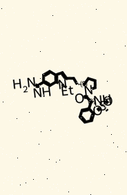 CCn1c(CC[C@@H]2CCCN2C(=O)[C@H](NS(C)(=O)=O)c2ccccc2)cc2ccc(C(=N)N)cc21